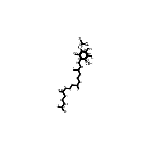 C=C(CCCC(C)CCCC(C)CCCC(C)C)CCc1c(C)c(OC(C)=O)c(C)c(C)c1O